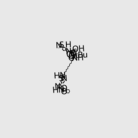 Cc1ncc(-c2ccc3nc(NCCCCCCCCCCCC(=O)N[C@H](C(=O)N4C[C@H](O)C[C@H]4C(=O)NCc4ccc(-c5scnc5C)cc4)C(C)(C)C)sc3c2)cc1NC(=O)OC1CCCCC1